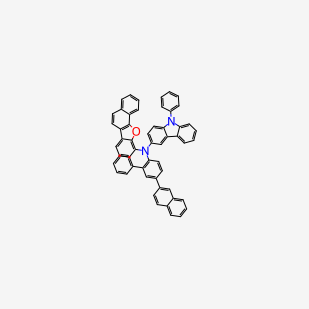 c1ccc(-c2cc(-c3ccc4ccccc4c3)ccc2N(c2ccc3c(c2)c2ccccc2n3-c2ccccc2)c2cccc3c2oc2c4ccccc4ccc32)cc1